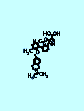 Cc1cccc(-c2cccc3[n+]2C(C)Oc2c(C(O)O)cnn2-3)c1OCc1ccc2c(c1)CCN(C(C)C)C2